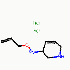 C=CCONC1C=CCNC1.Cl.Cl